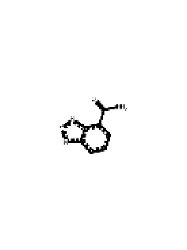 NC(=O)c1cccc2nsnc12